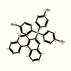 CC(C)(C)c1ccc([Si](c2ccc(C(C)(C)C)cc2)(c2ccc(C(C)(C)C)cc2)c2cc3ccccc3c3c2cnc2ccccc23)cc1